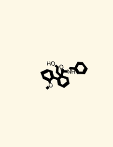 COc1ccccc1C1=CC=CCC1(CCO)C(=O)NCc1ccccc1